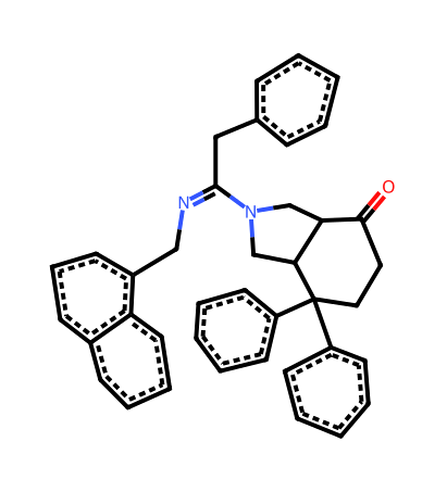 O=C1CCC(c2ccccc2)(c2ccccc2)C2CN(C(Cc3ccccc3)=NCc3cccc4ccccc34)CC12